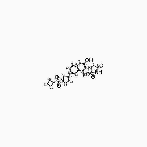 O=C1CN(c2c(O)cc3ccc(C4=CCN(S(=O)(=O)C5CCC5)C4)cc3c2F)S(=O)(=O)N1